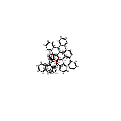 c1ccc(-c2ccc(-c3ccccc3N(c3ccc4c(c3)C3(c5ccccc5-4)c4ccccc4-n4c5ccccc5c5cccc3c54)c3ccccc3-c3ccc4oc5ccccc5c4c3)cc2)cc1